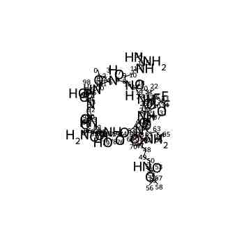 CC[C@H](C)[C@@H]1NC(=O)[C@@H](CCCNC(=N)N)NC(=O)[C@H](CC(C)C)NC(=O)[C@H]([C@H](OC(=O)C(F)(F)F)C(C)C)NC(=O)[C@@H](N(C(=O)CCCCCNC(=O)OC(C)(C)C)C(=O)[C@@H](N)CC(C)C)[C@@H](c2ccccc2)OC(=O)[C@H](CO)NC(=O)[C@H]([C@H](O)C(N)=O)NC(=O)CNC(=O)[C@H]([C@H](C)O)NC1=O